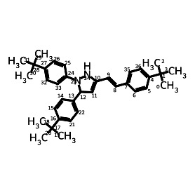 CC(C)(C)c1ccc(C=CC2=CC(c3ccc(C(C)(C)C)cc3)N(c3ccc(C(C)(C)C)cc3)N2)cc1